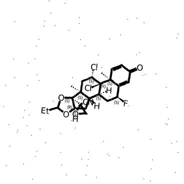 CCC1O[C@@H]2C[C@H]3[C@@H]4C[C@H](F)C5=CC(=O)C=C[C@]5(C)[C@@]4(Cl)[C@@H](Cl)C[C@]3(C)[C@]2(C2(C#N)CO2)O1